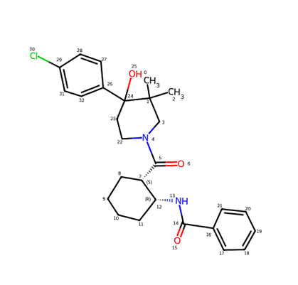 CC1(C)CN(C(=O)[C@H]2CCCC[C@H]2NC(=O)c2ccccc2)CCC1(O)c1ccc(Cl)cc1